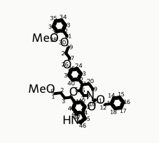 COCCCC(OC1CN(C(=O)OCc2ccccc2)CCC1c1ccc(OCCCOCc2ccccc2OC)cc1)c1ccc2cc[nH]c2c1